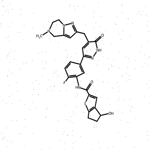 CN1CCn2nc(Cc3cc(-c4ccc(F)c(NC(=O)c5cc6c(s5)CCC6O)c4)n[nH]c3=O)cc2C1